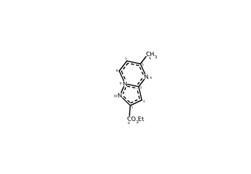 CCOC(=O)c1cc2nc(C)ccn2n1